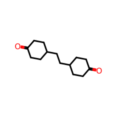 O=C1CCC(CCC2CCC(=O)CC2)CC1